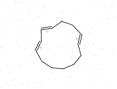 [CH]1/C=C/C=C/CCCCC/C=C/C1